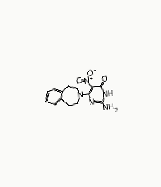 Nc1nc(N2CCc3ccccc3CC2)c([N+](=O)[O-])c(=O)[nH]1